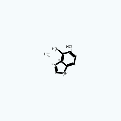 Cl.Cl.Nc1cccc2[nH]cnc12